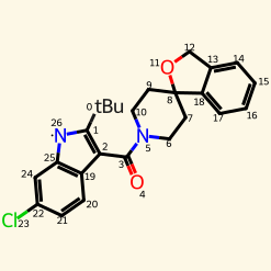 CC(C)(C)C1=C(C(=O)N2CCC3(CC2)OCc2ccccc23)c2ccc(Cl)cc2[N]1